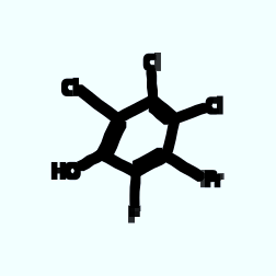 CC(C)c1c(F)c(O)c(Cl)c(Cl)c1Cl